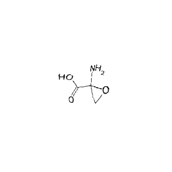 NC1(C(=O)O)CO1